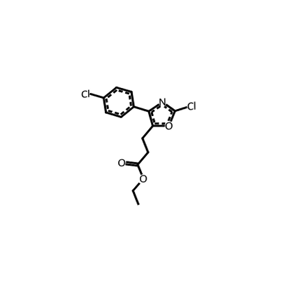 CCOC(=O)CCc1oc(Cl)nc1-c1ccc(Cl)cc1